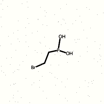 OP(O)CCBr